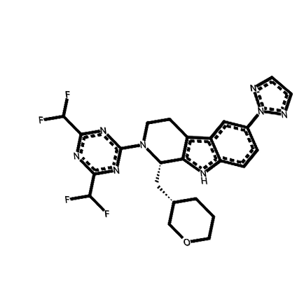 FC(F)c1nc(C(F)F)nc(N2CCc3c([nH]c4ccc(-n5nccn5)cc34)[C@@H]2C[C@@H]2CCCOC2)n1